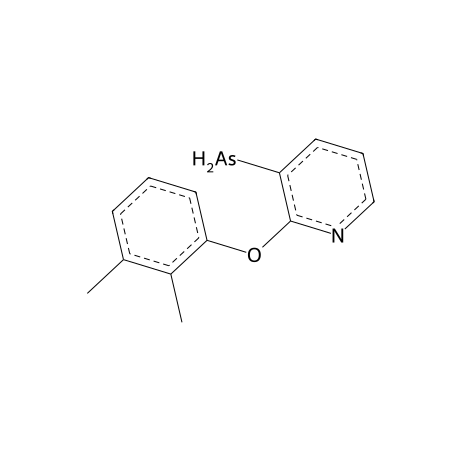 Cc1cccc(Oc2ncccc2[AsH2])c1C